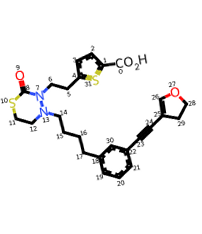 O=C(O)c1ccc(CCN2C(=O)SCCN2CCCCc2cccc(C#CC3=COCC3)c2)s1